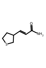 NC(=O)C=CC1CCSC1